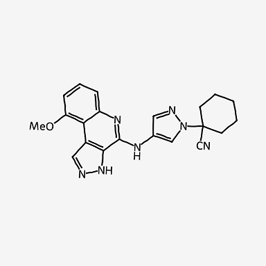 COc1cccc2nc(Nc3cnn(C4(C#N)CCCCC4)c3)c3[nH]ncc3c12